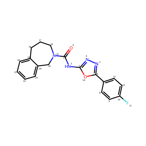 O=C(Nc1nnc(-c2ccc(F)cc2)o1)N1CCCc2ccccc2C1